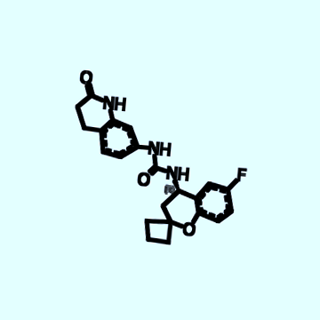 O=C1CCc2ccc(NC(=O)N[C@@H]3CC4(CCC4)Oc4ccc(F)cc43)cc2N1